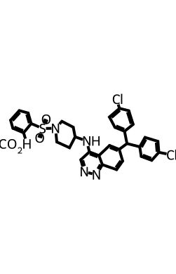 O=C(O)c1ccccc1S(=O)(=O)N1CCC(Nc2cnnc3ccc(C(c4ccc(Cl)cc4)c4ccc(Cl)cc4)cc23)CC1